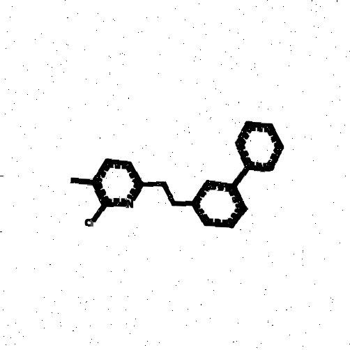 Cc1ccc(CCc2cccc(-c3ccccc3)c2)nc1Cl